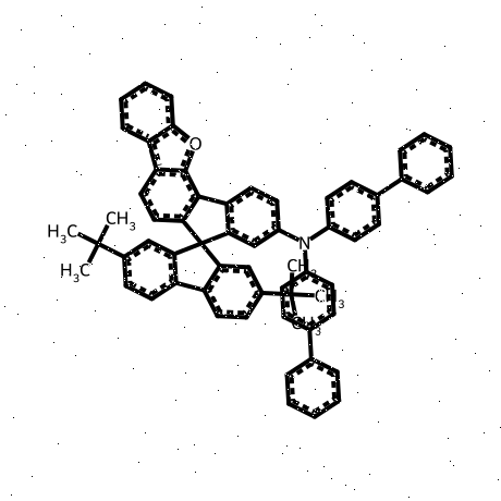 CC(C)(C)c1ccc2c(c1)C1(c3cc(C(C)(C)C)ccc3-2)c2cc(N(c3ccc(-c4ccccc4)cc3)c3ccc(-c4ccccc4)cc3)ccc2-c2c1ccc1c2oc2ccccc21